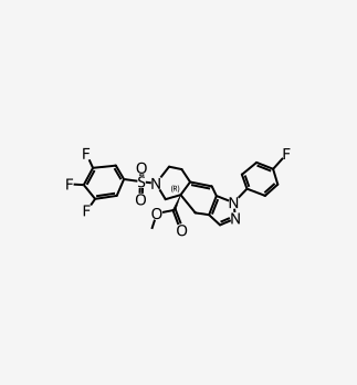 COC(=O)[C@]12Cc3cnn(-c4ccc(F)cc4)c3C=C1CCN(S(=O)(=O)c1cc(F)c(F)c(F)c1)C2